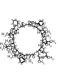 CCCCN1CC(=O)N(C)[C@@H](Cc2ccccc2)C(=O)N(C)[C@@H](CC(C)C)C(=O)N[C@@H](COC(C)(C)C)C(=O)N(C)[C@@H](CC(C)C)C(=O)N[C@H](C(=O)N2CCCCC2)CCN(C)CC(=O)N(C)[C@@H](Cc2ccccc2)C(=O)N[C@@H](C(C)C)C(=O)N(C)[C@@H](CC(C)C)C(=O)N[C@@H](COCC(C)O)C1=O